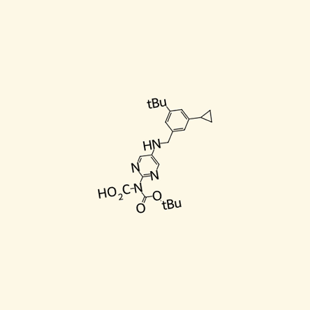 CC(C)(C)OC(=O)N(C(=O)O)c1ncc(NCc2cc(C3CC3)cc(C(C)(C)C)c2)cn1